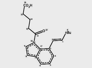 CCCCC=Cc1cccc2ccn(C(=O)CCCC(=O)O)c12